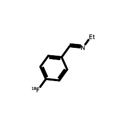 CCN=Cc1ccc([18F])cc1